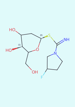 N=C(S[C@@H]1CC(O)[C@H](O)C(CO)O1)N1CCC(F)C1